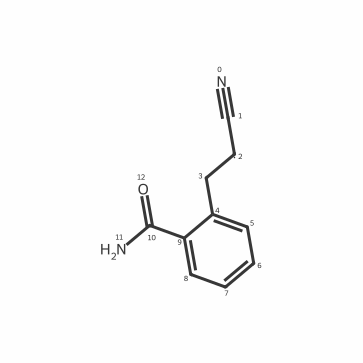 N#C[CH]Cc1ccccc1C(N)=O